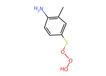 Cc1cc(SOOO)ccc1N